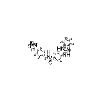 O=C(NCc1ccc(-c2csnn2)cc1)[C@H]1CC[C@H](Nc2nc3ccccc3[nH]2)CC1